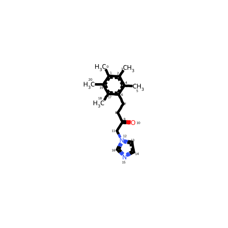 Cc1c(C)c(C)c(CCC(=O)Cn2ccnc2)c(C)c1C